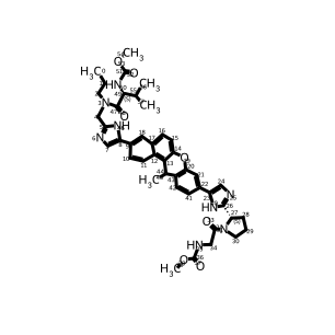 CCCN(Cc1ncc(-c2ccc3c4c(ccc3c2)Oc2cc(-c3cnc([C@@H]5CCCN5C(=O)CNC(=O)OC)[nH]3)ccc2C4C)[nH]1)C(=O)[C@@H](NC(=O)OC)C(C)C